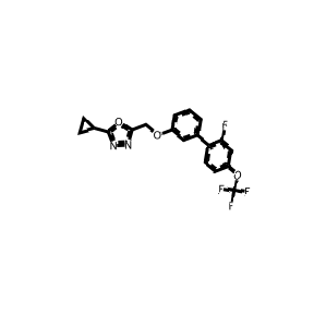 Fc1cc(OC(F)(F)F)ccc1-c1cccc(OCc2nnc(C3CC3)o2)c1